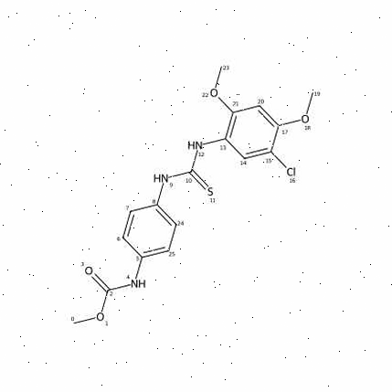 COC(=O)Nc1ccc(NC(=S)Nc2cc(Cl)c(OC)cc2OC)cc1